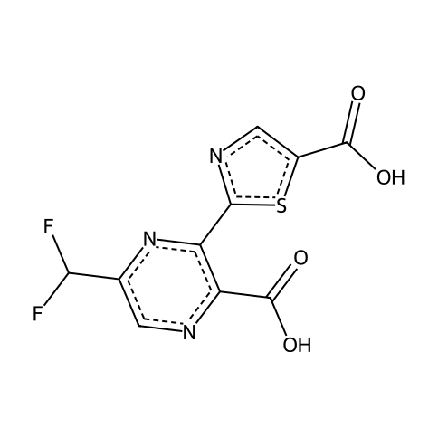 O=C(O)c1cnc(-c2nc(C(F)F)cnc2C(=O)O)s1